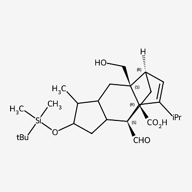 CC(C)C1=C[C@H]2C[C@]3(C=O)C4CC(O[Si](C)(C)C(C)(C)C)C(C)C4C[C@@]2(CO)[C@]13C(=O)O